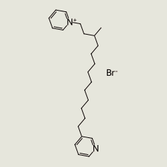 CC(CCCCCCCCCCc1cccnc1)CC[n+]1ccccc1.[Br-]